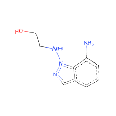 Nc1cccc2cnn(NCCO)c12